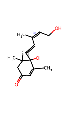 CC1=CC(=O)CC(C)(C)C1(O)C=C/C(C)=C\CO